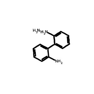 N.Nc1ccccc1-c1ccccc1N